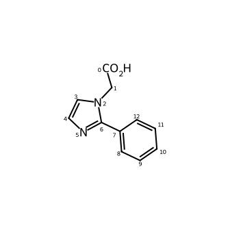 O=C(O)Cn1ccnc1-c1ccccc1